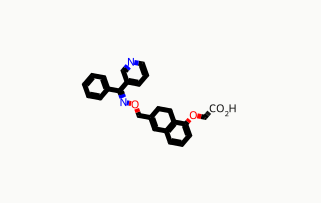 O=C(O)COc1cccc2c1CCC(CON=C(c1ccccc1)c1cccnc1)=C2